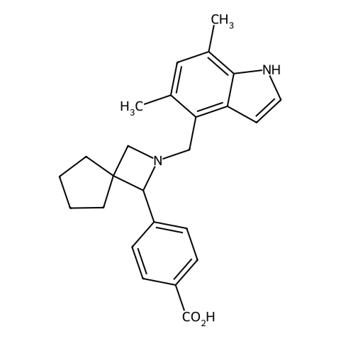 Cc1cc(C)c2[nH]ccc2c1CN1CC2(CCCC2)C1c1ccc(C(=O)O)cc1